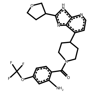 Nc1cc(OC(F)(F)F)ccc1C(=O)N1CCC(c2ccnc3[nH]c(C4CCOC4)nc23)CC1